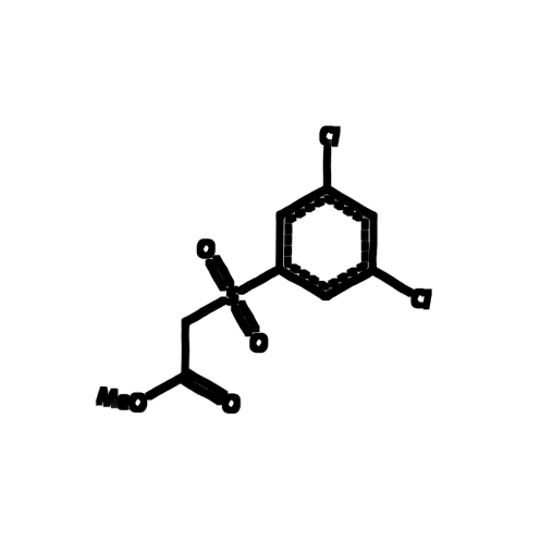 COC(=O)CS(=O)(=O)c1cc(Cl)cc(Cl)c1